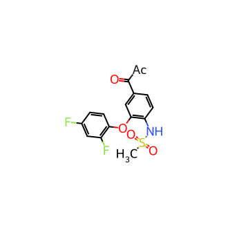 CC(=O)C(=O)c1ccc(NS(C)(=O)=O)c(Oc2ccc(F)cc2F)c1